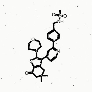 CC1(C)CC(=O)c2sc(N3CCOCC3)c(-c3ccnc(-c4ccc(CNS(C)(=O)=O)cc4)c3)c2C1